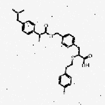 CC(C)Cc1ccc(C(C)C(=O)OCc2ccc(CC(SCCc3ccc(F)cc3)C(=O)O)cc2)cc1